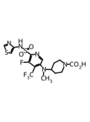 CN(c1cnc(S(=O)(=O)Nc2cscn2)c(F)c1C(F)(F)F)C1CCN(C(=O)O)CC1